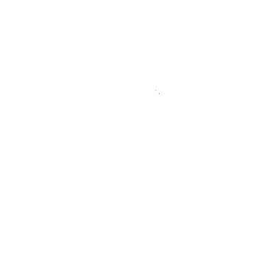 CC(S)Cc1ccc([N+](=O)[O-])cc1